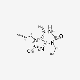 C=CCn1c(Cl)nc2c1C(=C)NC(=O)N2CC